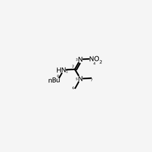 CCCCN/C(=N/[N+](=O)[O-])N(C)C